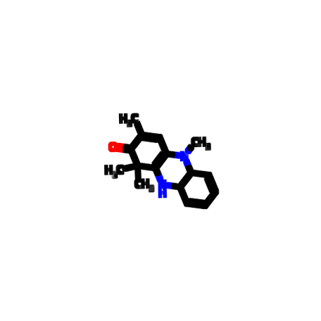 CC1=CC2=C(NC3C=CC=CC3N2C)C(C)(C)C1=O